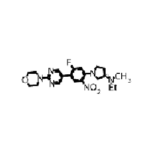 CCN(C)[C@@H]1CCN(c2cc(F)c(-c3cnc(N4CCOCC4)nc3)cc2[N+](=O)[O-])C1